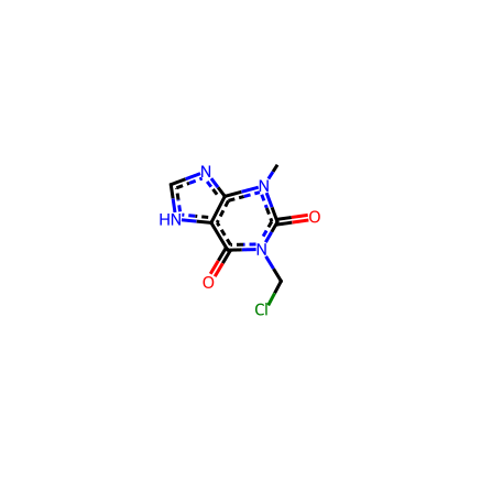 Cn1c(=O)n(CCl)c(=O)c2[nH]cnc21